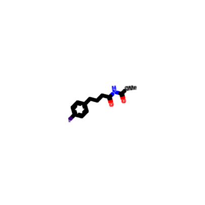 COC(=O)NC(=O)CCCc1ccc(I)cc1